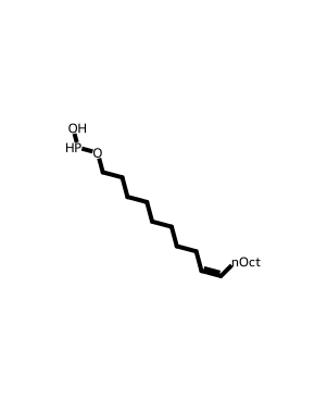 CCCCCCCC/C=C\CCCCCCCCOPO